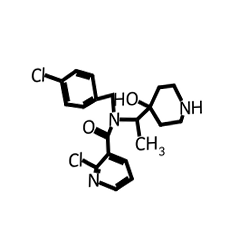 CC(N(Cc1ccc(Cl)cc1)C(=O)c1cccnc1Cl)C1(O)CCNCC1